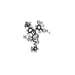 C/C(NNC(=O)CCn1cccn1)=C1/C(=O)N(c2cc(C)cc(C)c2)c2cc(C(F)(F)F)ccc21